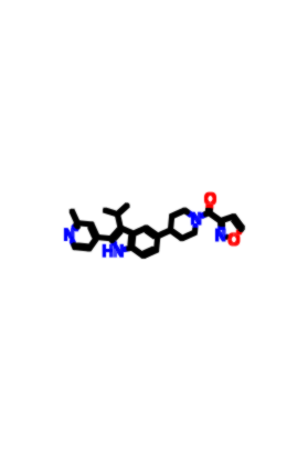 Cc1cc(-c2[nH]c3ccc(C4CCN(C(=O)c5ccon5)CC4)cc3c2C(C)C)ccn1